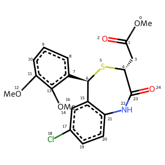 COC(=O)C[C@H]1S[C@H](c2cccc(OC)c2OC)c2cc(Cl)ccc2NC1=O